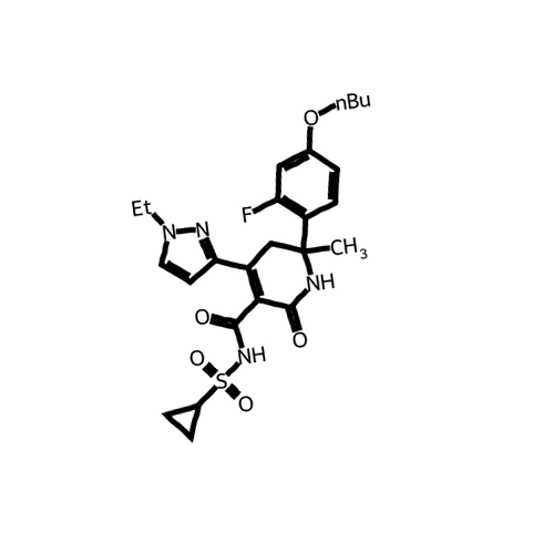 CCCCOc1ccc(C2(C)CC(c3ccn(CC)n3)=C(C(=O)NS(=O)(=O)C3CC3)C(=O)N2)c(F)c1